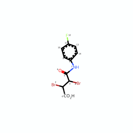 O=C(O)C(Br)C(Br)C(=O)Nc1ccc(F)cc1